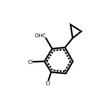 O=Cc1c(C2CC2)ccc(Cl)c1Cl